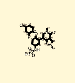 CCS(=O)(=O)Nc1ccc(Oc2ccc(Cl)cc2F)c(-c2cn(C)c(=O)c3cn(C)nc23)c1